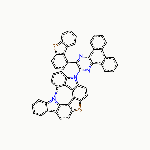 c1ccc2c(c1)sc1cccc(-c3nc4c5ccccc5c5ccccc5c4nc3-n3c4ccc5sc6ccc7c8ccccc8n8c9cccc3c9c4c5c6c78)c12